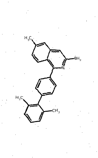 Bc1cc2cc(C)ccc2c(-c2ccc(-c3c(C)cccc3C)cc2)n1